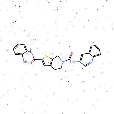 Nc1ccccc1NC(=O)c1cc2c(s1)CN(C(=O)Nc1cnc3ccccc3c1)CC2